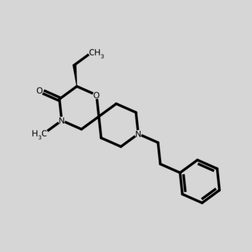 CC[C@H]1OC2(CCN(CCc3ccccc3)CC2)CN(C)C1=O